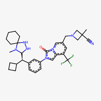 CN1C([C@@H](c2cccc(-n3cc4c(C(F)(F)F)cc(CN5CC(C)(C#N)C5)cn4c3=O)c2)C2CCC2)NNC12CCCCC2